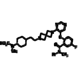 CC(C)N(C)C(=O)c1cc(F)ccc1Oc1cncnc1N1CC2(CN(CCC3CCC(N(C(=O)O)C(C)(C)C)CC3)C2)C1